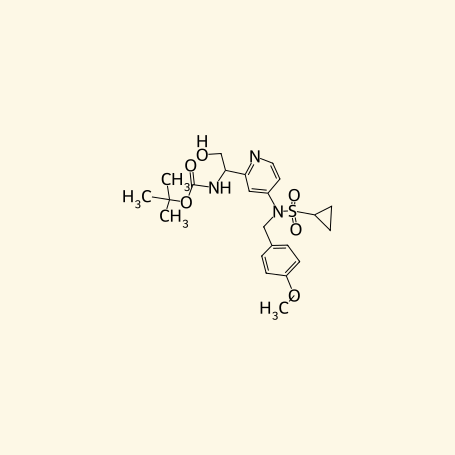 COc1ccc(CN(c2ccnc(C(CO)NC(=O)OC(C)(C)C)c2)S(=O)(=O)C2CC2)cc1